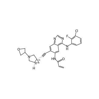 C=CC(=O)Nc1cc2c(Nc3cccc(Cl)c3F)ncnc2cc1C#C[C@]12C[C@H]1CN(C1COC1)C2